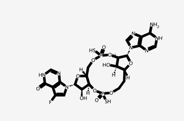 NC1NC=Nc2c1ncn2[C@@H]1O[C@@H]2CCOP(=O)(S)O[C@H]3[C@@H](O)[C@H](n4cc(F)c5c(=O)[nH]cnc54)O[C@@H]3COP(=O)(S)O[C@@H]1[C@@H]2O